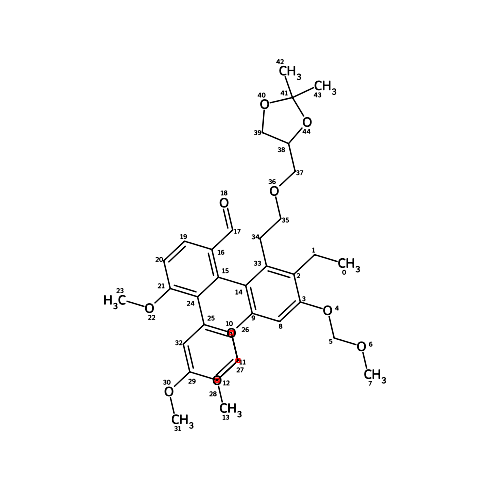 CCc1c(OCOC)cc(OCOC)c(-c2c(C=O)ccc(OC)c2-c2cccc(OC)c2)c1CCOCC1COC(C)(C)O1